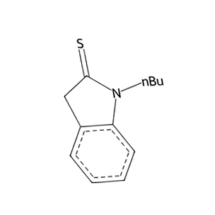 CCCCN1C(=S)Cc2ccccc21